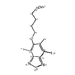 CCCCCCCCCCCCCCOc1c(C)c(I)c2nsnc2c1I